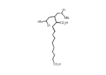 CCCCC(CC)CC(CC(CC)CCCC)C(CCCCCCCCCC(=O)O)C(=O)O